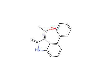 C=c1[nH]c2cccc(-c3ccccc3)c2/c1=C(/C)O